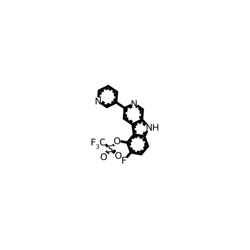 O=S(=O)(Oc1c(F)ccc2[nH]c3cnc(-c4cccnc4)cc3c12)C(F)(F)F